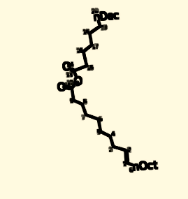 CCCCCCCCC=CCCCCCCCC(=O)OC(=O)CCCCCCCCCCCCCCC